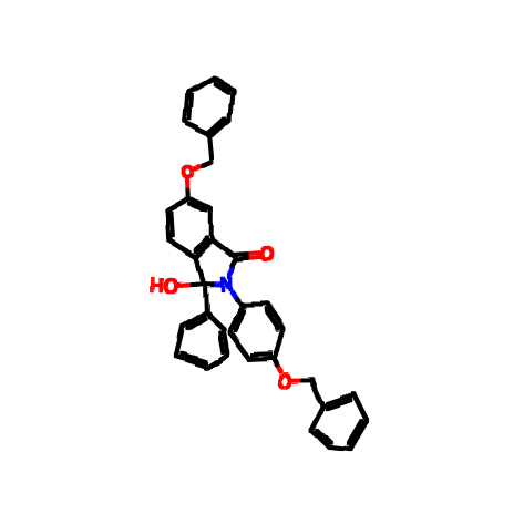 O=C1c2cc(OCc3ccccc3)ccc2C(O)(c2ccccc2)N1c1ccc(OCc2ccccc2)cc1